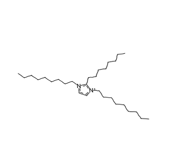 CCCCCCCCCn1cc[n+](CCCCCCCCC)c1CCCCCCCC